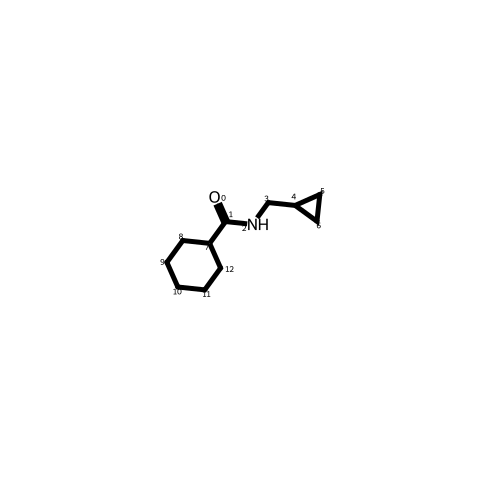 O=C(NCC1CC1)C1CCCCC1